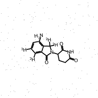 [2H]c1cc(N)c2c(c1[2H])C(=O)N(C1CCC(=O)NC1=O)C2([2H])[2H]